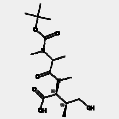 CC(C(=O)N(C)[C@H](C(=O)O)[C@H](C)CO)N(C)C(=O)OC(C)(C)C